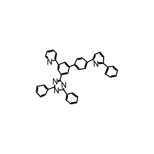 c1ccc(-c2cccc(-c3ccc(-c4cc(-c5ccccn5)cc(-c5nc(-c6ccccc6)nc(-c6ccccc6)n5)c4)cc3)n2)cc1